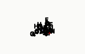 CC[Si](CC)(CC)OC(CN(Cc1cc(F)cc(F)c1)C(=O)/C(C=N)=C(/N[C@H]1CC[C@H](C(C)=O)CC1)C1CC1)c1c(Cl)cncc1Cl